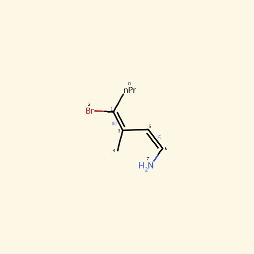 CCC/C(Br)=C(C)\C=C/N